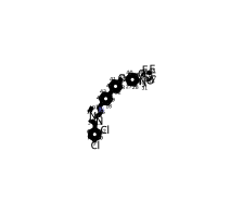 CCn1cc(-c2ccc(Cl)cc2Cl)nc1/C=C/c1ccc(-c2ccc(Oc3ccc(N(C)S(=O)(=O)C(F)(F)F)cc3)cc2)cc1